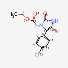 CCOC(=O)Cn1c(-c2ccc(Cl)cc2)c(Br)[nH]c1=O